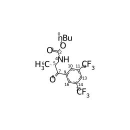 CCCCOC(=O)N[C@@H](C)C(=O)c1cc(C(F)(F)F)cc(C(F)(F)F)c1